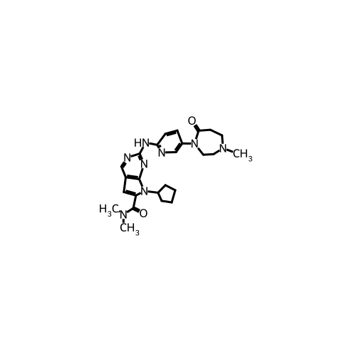 CN1CCC(=O)N(c2ccc(Nc3ncc4cc(C(=O)N(C)C)n(C5CCCC5)c4n3)nc2)CC1